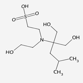 CC(C)CC(CO)(CO)N(CCO)CCS(=O)(=O)O